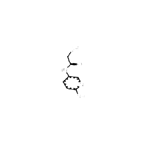 Nc1ccc(NC(=O)CS)cn1